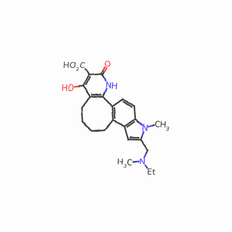 CCN(C)Cc1cc2c3c(ccc2n1C)-c1[nH]c(=O)c(C(=O)O)c(O)c1CCCC3